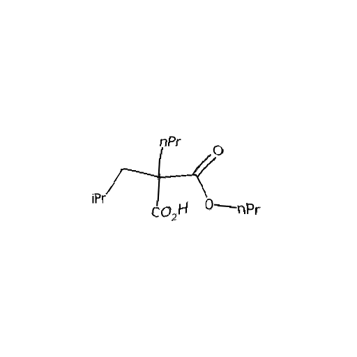 CCCOC(=O)C(CCC)(CC(C)C)C(=O)O